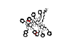 [N-]=[N+]=NCCCCCO[C@H]1OC(COCc2ccccc2)[C@@H](OCc2ccccc2)C(OCc2ccccc2)C1O[C@H]1OC(COCc2ccccc2)[C@@H](OCc2ccccc2)C(OCc2ccccc2)C1O[C@@H]1OC2COC(c3ccccc3)O[C@H]2C(OCc2ccc3ccccc3c2)C1OCc1ccccc1